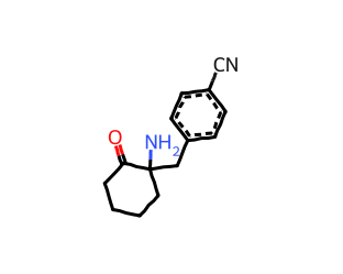 N#Cc1ccc(CC2(N)CCCCC2=O)cc1